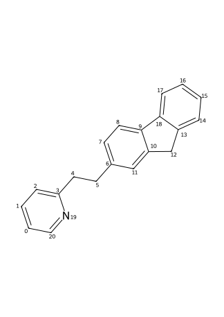 c1ccc(CCc2ccc3c(c2)Cc2ccccc2-3)nc1